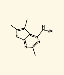 CCCCNc1nc(C)nc2sc(C)c(C)c12